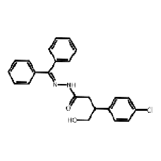 O=C(CC(CO)c1ccc(Cl)cc1)NN=C(c1ccccc1)c1ccccc1